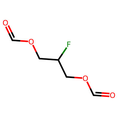 O=COCC(F)COC=O